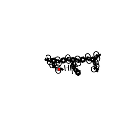 C=CC(=O)OCOc1cc(OC(=O)C2CCC(C(=O)Oc3ccc(OC(=O)C4CCC(C(=O)Oc5ccc(OC(=O)C=C)c(OC(C)(C)COC(=O)C=C)c5)CC4)c(/C=N/Nc4nc5ccccc5s4)c3)CC2)ccc1OC(=O)C=C